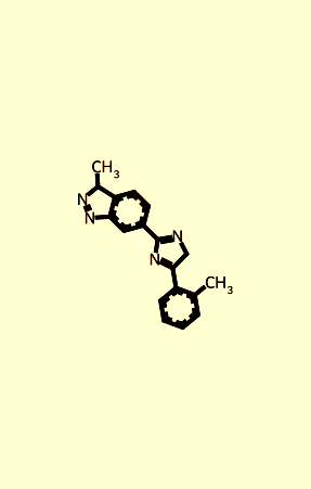 Cc1ccccc1C1=NC(c2ccc3c(c2)N=NC3C)=NC1